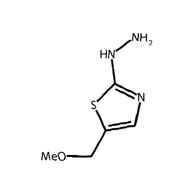 COCc1cnc(NN)s1